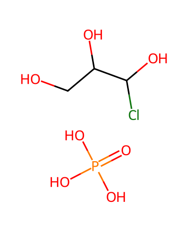 O=P(O)(O)O.OCC(O)C(O)Cl